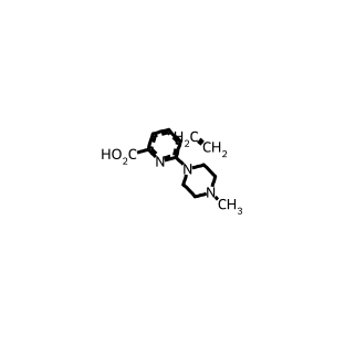 C=C.CN1CCN(c2cccc(C(=O)O)n2)CC1